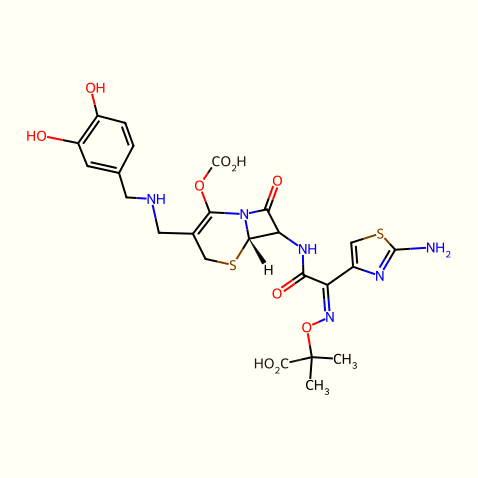 CC(C)(O/N=C(\C(=O)NC1C(=O)N2C(OC(=O)O)=C(CNCc3ccc(O)c(O)c3)CS[C@@H]12)c1csc(N)n1)C(=O)O